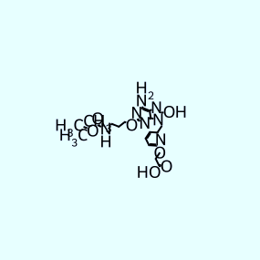 CC(C)(C)OC(=O)NCCCOc1nc(N)c2nc(O)n(Cc3cccc(OCC(=O)O)n3)c2n1